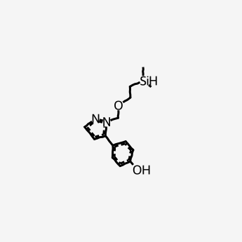 C[SiH](C)CCOCn1nccc1-c1ccc(O)cc1